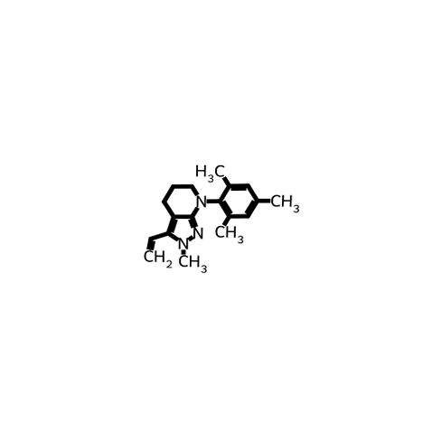 C=Cc1c2c(nn1C)N(c1c(C)cc(C)cc1C)CCC2